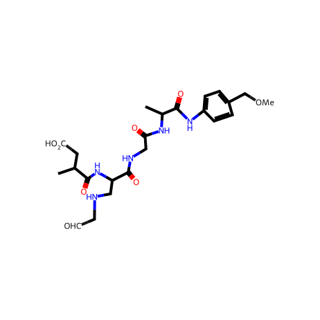 COCc1ccc(NC(=O)C(C)NC(=O)CNC(=O)C(CNCC=O)NC(=O)C(C)CC(=O)O)cc1